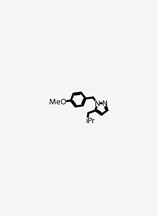 COc1ccc(Cn2nccc2CC(C)C)cc1